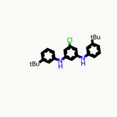 CC(C)(C)c1cccc(Nc2cc(Cl)cc(Nc3cccc(C(C)(C)C)c3)c2)c1